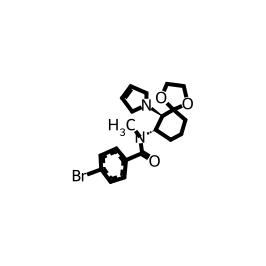 CN(C(=O)c1ccc(Br)cc1)[C@H]1CCCC2(OCCO2)[C@@H]1N1CC=CC1